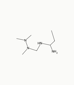 CCC(N)NCN(C)N(C)C